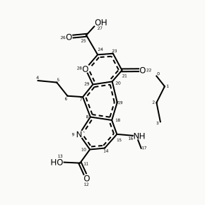 CCCC.CCCc1c2nc(C(=O)O)cc(NC)c2cc2c(=O)cc(C(=O)O)oc12